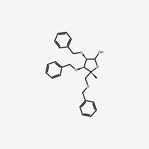 C[C@]1(COCc2ccccc2)OC(O)[C@H](OCc2ccccc2)[C@@H]1OCc1ccccc1